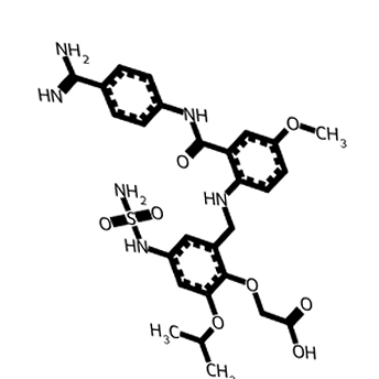 COc1ccc(NCc2cc(NS(N)(=O)=O)cc(OC(C)C)c2OCC(=O)O)c(C(=O)Nc2ccc(C(=N)N)cc2)c1